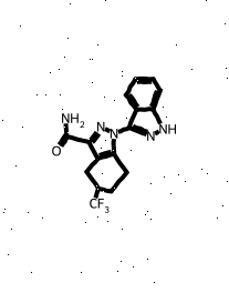 NC(=O)c1nn(-c2n[nH]c3ccccc23)c2c1CC(C(F)(F)F)CC2